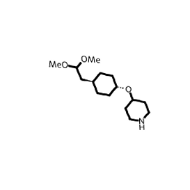 COC(C[C@H]1CC[C@H](OC2CCNCC2)CC1)OC